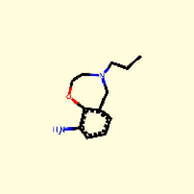 CCCN1CCOc2c(N)cccc2C1